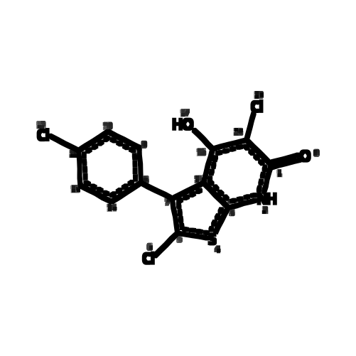 O=c1[nH]c2sc(Cl)c(-c3ccc(Cl)cc3)c2c(O)c1Cl